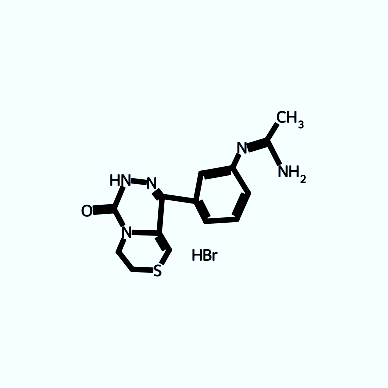 Br.CC(N)=Nc1cccc(C2=NNC(=O)N3CCSC=C23)c1